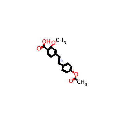 COc1cc(/C=C/c2ccc(OC(C)=O)cc2)ccc1C(=O)O